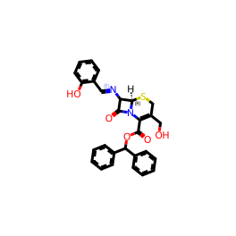 O=C(OC(c1ccccc1)c1ccccc1)C1=C(CO)CS[C@@H]2C(/N=C/c3ccccc3O)C(=O)N12